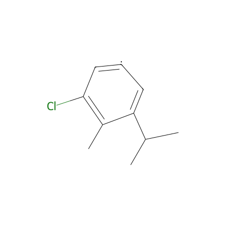 Cc1c(Cl)c[c]cc1C(C)C